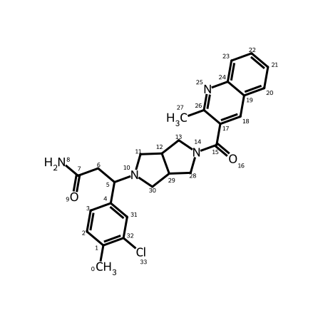 Cc1ccc(C(CC(N)=O)N2CC3CN(C(=O)c4cc5ccccc5nc4C)CC3C2)cc1Cl